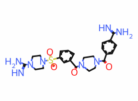 N=C(N)c1ccc(C(=O)N2CCN(C(=O)c3cccc(S(=O)(=O)N4CCN(C(=N)N)CC4)c3)CC2)cc1